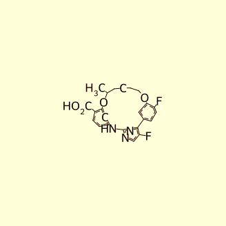 CC1CCCCOc2cc(ccc2F)-c2nc(ncc2F)Nc2ccc(C(=O)O)c(c2)O1